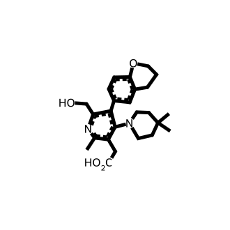 Cc1nc(CO)c(-c2ccc3c(c2)CCCO3)c(N2CCC(C)(C)CC2)c1CC(=O)O